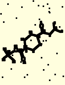 CC(C)CC(=O)C1CCN(C(=O)OC(C)(C)C)CC1